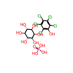 O=P(O)(O)O.O[C@H]1[C@H](O)[C@@H](O)[C@H](O)[C@@H](O)[C@H]1O.Oc1c(Cl)c(Cl)c(Cl)c(Cl)c1Cl